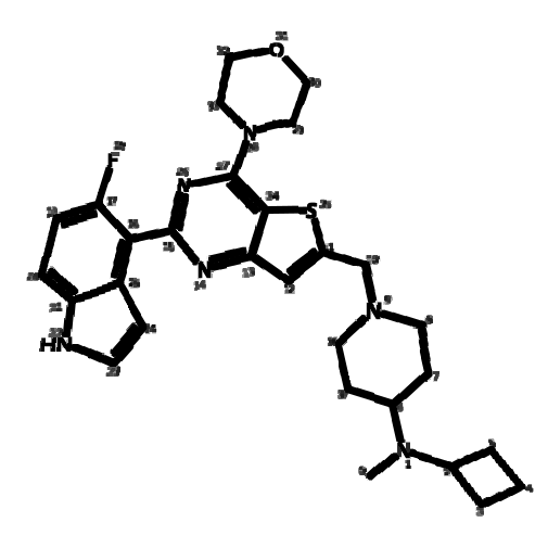 CN(C1CCC1)C1CCN(Cc2cc3nc(-c4c(F)ccc5[nH]ccc45)nc(N4CCOCC4)c3s2)CC1